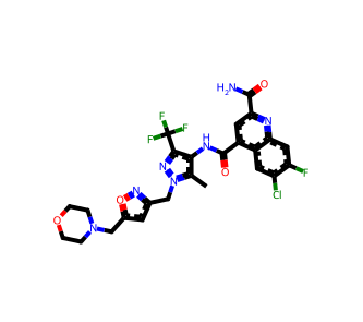 Cc1c(NC(=O)c2cc(C(N)=O)nc3cc(F)c(Cl)cc23)c(C(F)(F)F)nn1Cc1cc(CN2CCOCC2)on1